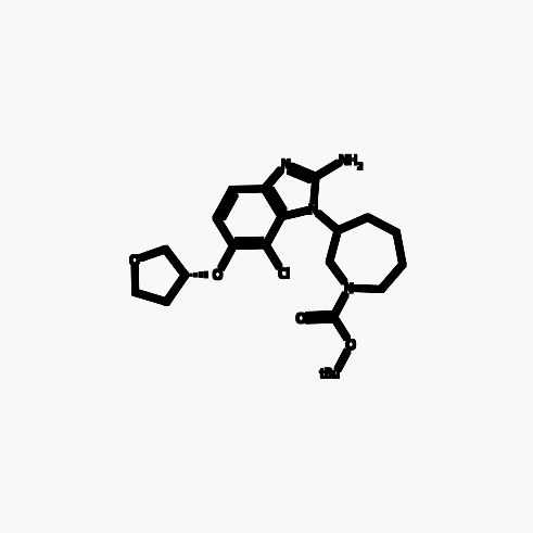 CC(C)(C)OC(=O)N1CCCCC(n2c(N)nc3ccc(O[C@@H]4CCOC4)c(Cl)c32)C1